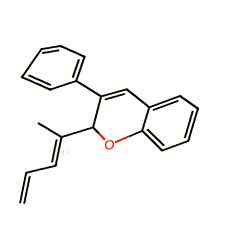 C=C/C=C(\C)C1Oc2ccccc2C=C1c1ccccc1